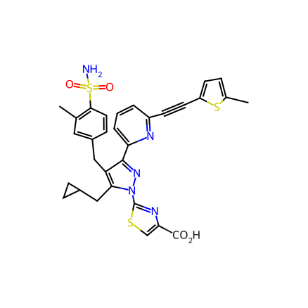 Cc1ccc(C#Cc2cccc(-c3nn(-c4nc(C(=O)O)cs4)c(CC4CC4)c3Cc3ccc(S(N)(=O)=O)c(C)c3)n2)s1